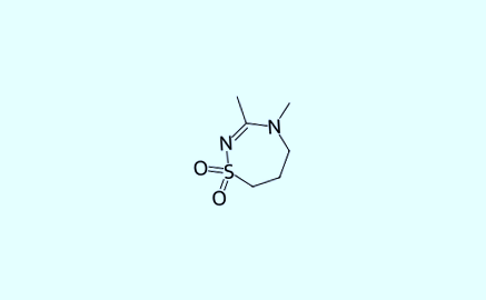 CC1=NS(=O)(=O)CCCN1C